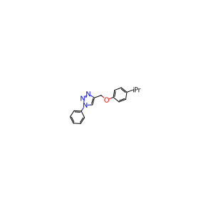 CC(C)c1ccc(OCc2cn(-c3ccccc3)nn2)cc1